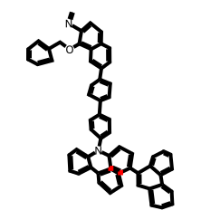 C=Nc1ccc2ccc(-c3ccc(-c4ccc(N(c5ccc(-c6cc7ccccc7c7ccccc67)cc5)c5ccccc5-c5ccccc5)cc4)cc3)cc2c1OCc1ccccc1